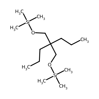 CCCC(CCC)(CO[Si](C)(C)C)CO[Si](C)(C)C